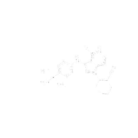 CC(C)(N)c1ccc(Nc2nn(C3COCCC3C#N)c3cc[nH]c(=O)c23)cc1